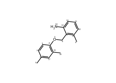 Cc1ccc(OCc2c(C)cccc2N)c(C)c1